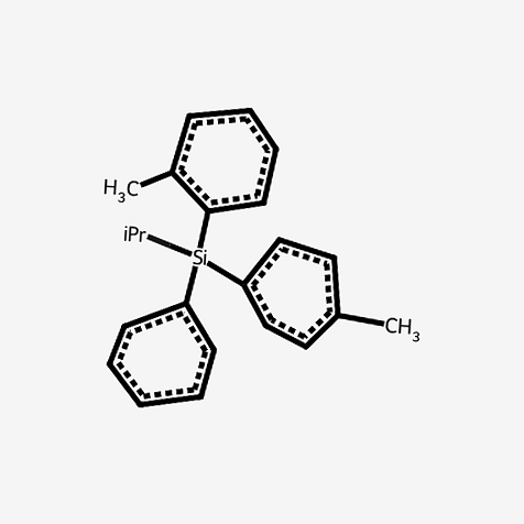 Cc1ccc([Si](c2ccccc2)(c2ccccc2C)C(C)C)cc1